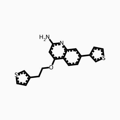 Nc1cc(OCCc2ccsc2)c2ccc(-c3ccsc3)cc2n1